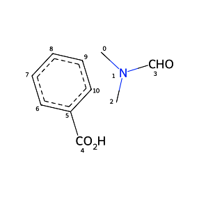 CN(C)C=O.O=C(O)c1ccccc1